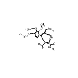 COC(=O)c1[nH]c(CN)c(-c2ccc(OC)c(OC)c2OC)c1C(F)F